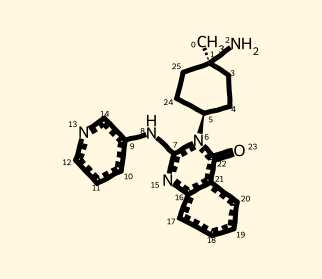 C[C@]1(N)CC[C@@H](n2c(Nc3cccnc3)nc3ccccc3c2=O)CC1